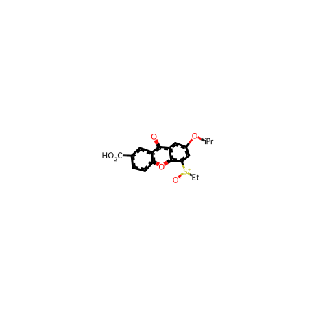 CC[S+]([O-])c1cc(OC(C)C)cc2c(=O)c3cc(C(=O)O)ccc3oc12